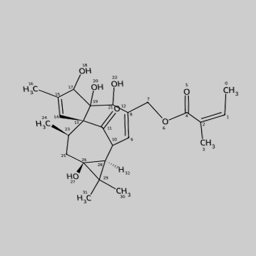 C/C=C(/C)C(=O)OCC1=CC2C(=O)[C@]3(C=C(C)C(O)C3(O)C1O)[C@H](C)C[C@]1(O)[C@@H]2C1(C)C